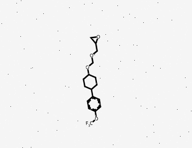 FC(F)(F)Oc1ccc(C2CCC(OCOCC3CO3)CC2)cc1